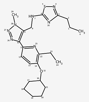 CCCc1nsc(NCc2c(-c3ccc(OC4CCCCC4)c(CC)n3)nnn2C)n1